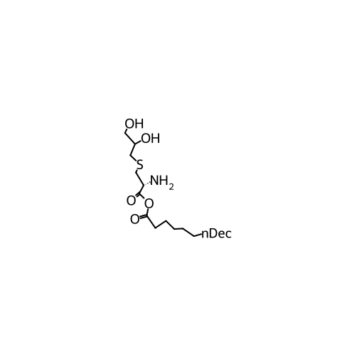 CCCCCCCCCCCCCCCC(=O)OC(=O)[C@@H](N)CSCC(O)CO